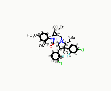 CCOC(=O)[C@H]1C[C@@H]1CN1[C@@H](CC(C)(C)C)[C@](C#N)(c2ccc(Cl)cc2F)[C@@H](c2cccc(Cl)c2F)[C@@H]1C(=O)Nc1ccc(C(=O)O)cc1OC